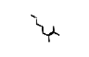 [CH2]SCCCC(C)=C(C)C